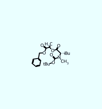 CCC(C)[C@@H](C(=O)OC(C)C(=O)OCc1ccccc1)N(C)C(=O)OC(C)(C)C